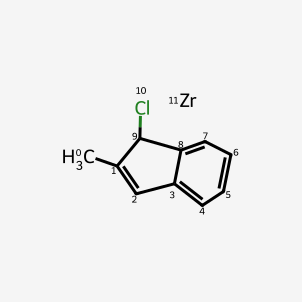 CC1=Cc2ccccc2C1Cl.[Zr]